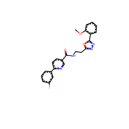 COc1ccccc1-c1nnc(CCNC(=O)c2ccc(-c3cccc(F)c3)nc2)o1